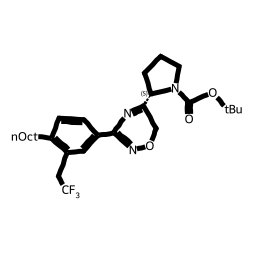 CCCCCCCCc1ccc(C2=NOCC([C@@H]3CCCN3C(=O)OC(C)(C)C)=N2)cc1CC(F)(F)F